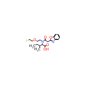 CCC(C)C(C(=O)O)N(CCOCCF)C(=O)Cc1nc2ccccc2o1